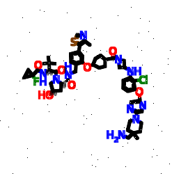 Cc1ncsc1-c1ccc(CNC(=O)[C@@H]2C[C@@H](O)CN2C(=O)[C@@H](NC(=O)C2(F)CC2)C(C)(C)C)c(OC2CCC(C(=O)N3CC(Nc4cccc(Oc5cnc(N6CCC(C)(CN)CC6)cn5)c4Cl)C3)CC2)c1